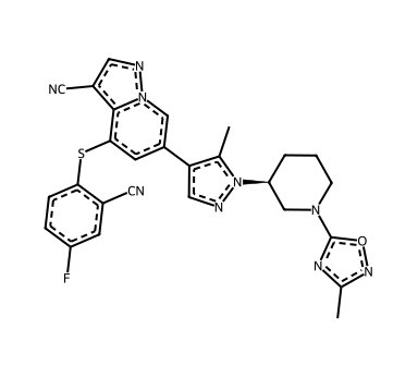 Cc1noc(N2CCC[C@H](n3ncc(-c4cc(Sc5ccc(F)cc5C#N)c5c(C#N)cnn5c4)c3C)C2)n1